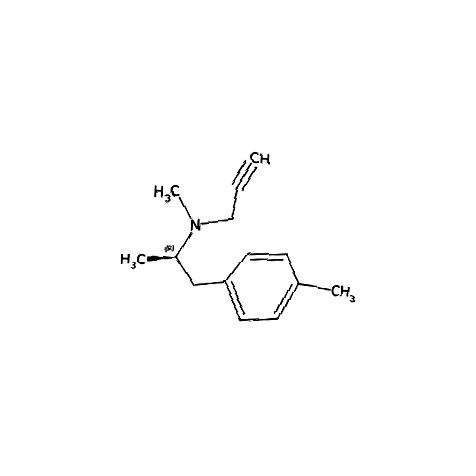 C#CCN(C)[C@H](C)Cc1ccc(C)cc1